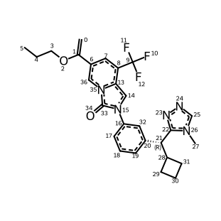 C=C(OCCC)c1cc(C(F)(F)F)c2cn(-c3cccc([C@H](c4nncn4C)C4CCC4)c3)c(=O)n2c1